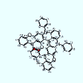 c1ccc(N2c3cc4c(cc3B3c5c2cccc5N(c2ccccc2)c2cc5c6c(c23)Oc2ccccc2B6c2ccccc2O5)B2c3ccccc3Sc3cccc(c32)O4)cc1